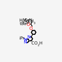 CNCC(COc1cccc(-c2cc(C(=O)O)c3cnn(C(C)C)c3n2)c1)O[Si](C)(C)C(C)(C)C